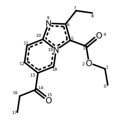 CCOC(=O)c1c(CC)nc2ccc(C(=O)CC)cn12